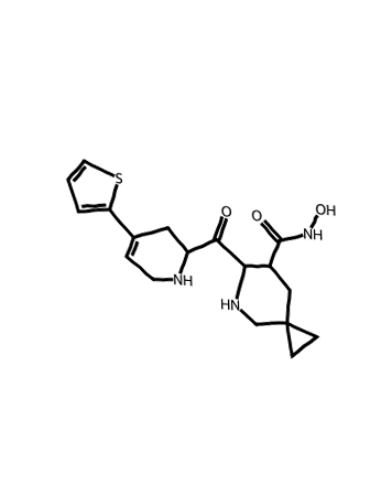 O=C(NO)C1CC2(CC2)CNC1C(=O)C1CC(c2cccs2)=CCN1